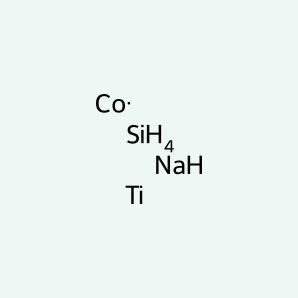 [Co].[NaH].[SiH4].[Ti]